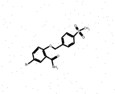 CS(=O)(=O)c1ccc(COc2ccc(Br)cc2C(N)=O)cc1